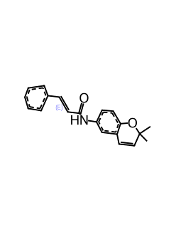 CC1(C)C=Cc2cc(NC(=O)/C=C/c3ccccc3)ccc2O1